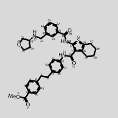 COC(=O)c1ccc(CCc2ccc(NC(=O)c3c(NC(=O)c4cccc(CN[C@H]5CCOC5)c4)sc4c3CCCC4)cc2)cc1